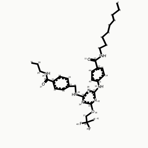 CCCCCCCCCNC(=O)c1ccc(Nc2nc(NCc3ccc(C(=O)NCCC)cc3)nc(OCC(F)(F)F)n2)cc1